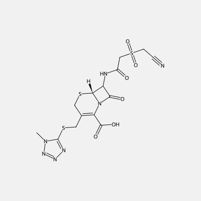 Cn1nnnc1SCC1=C(C(=O)O)N2C(=O)C(NC(=O)CS(=O)(=O)CC#N)[C@H]2SC1